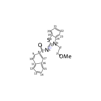 COCCn1/c(=N/C(=O)c2ccc3ccccc3c2)sc2ccccc21